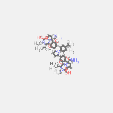 CC(C)c1ccc(N2[C@@H](c3ccc([C@]4(C(N)=O)CCCN4C(=O)[C@H](C(C)C)N(C)C(=O)O)cc3)CC[C@@H]2c2ccc([C@]3(C(N)=O)CCCN3C(=O)[C@H](C(C)C)N(C)C(=O)O)cc2)cc1